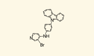 Brc1cnccc1Nc1ccc(-n2c3ccccc3c3ccccc32)cc1